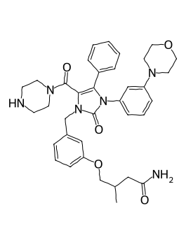 CC(COc1cccc(Cn2c(C(=O)N3CCNCC3)c(-c3ccccc3)n(-c3cccc(N4CCOCC4)c3)c2=O)c1)CC(N)=O